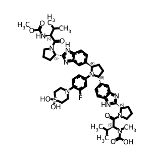 COC(=O)N[C@H](C(=O)N1CCC[C@H]1c1nc2cc([C@H]3CC[C@H](c4ccc5[nH]c([C@@H]6CCCN6C(=O)[C@H](C(C)C)N(C)C(=O)O)nc5c4)N3c3ccc(N4CCS(O)(O)CC4)c(F)c3)ccc2[nH]1)C(C)C